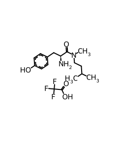 CC(C)CCN(C)C(=O)[C@@H](N)Cc1ccc(O)cc1.O=C(O)C(F)(F)F